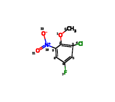 COc1c(Cl)cc(F)cc1[N+](=O)[O-]